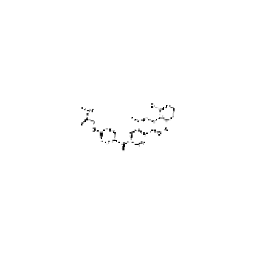 CNC(=O)CSc1ccc(Nc2ncc3c(=O)n(-c4c(Cl)cccc4Cl)cc(C)c3n2)cc1